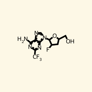 Nc1nc(C(F)(F)F)nc2c1ncn2C1OC(CO)CC1F